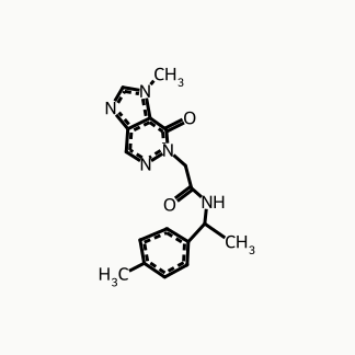 Cc1ccc(C(C)NC(=O)Cn2ncc3ncn(C)c3c2=O)cc1